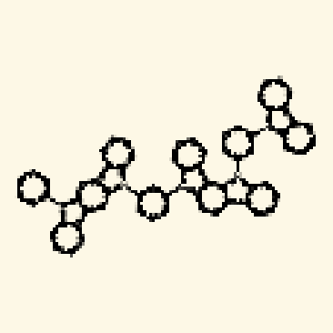 c1ccc(-n2c3ccccc3c3cc4c(cc32)c2ccccc2n4-c2cccc(-n3c4ccccc4c4c3ccc3c5ccccc5n(-c5cccc(-n6c7ccccc7c7ccccc76)c5)c34)c2)cc1